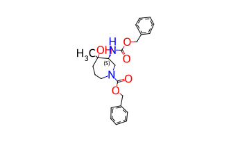 CC1(O)CCCN(C(=O)OCc2ccccc2)C[C@@H]1NC(=O)OCc1ccccc1